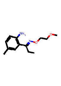 CC/C(=N\OCCOC)c1cc(C)ccc1N